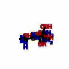 Cc1nc(O)c2c(CCc3cnc(C(=O)N[C@@H](CCC(=O)O)C(=O)C(C[C@H](N)C(=O)O)(C(=O)O)C(=O)[C@@H](N)CCC(=O)O)s3)c[nH]c2n1